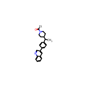 CCC(=O)N1CCC(C(C)c2ccc(-c3cnc4ccccc4c3)cc2)CC1